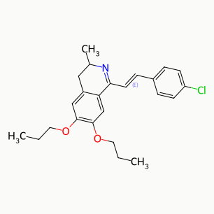 CCCOc1cc2c(cc1OCCC)C(/C=C/c1ccc(Cl)cc1)=NC(C)C2